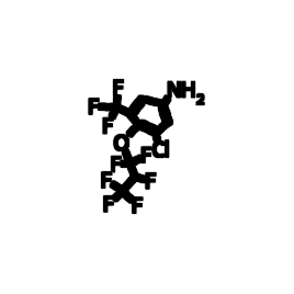 Nc1cc(Cl)c(OC(F)(F)C(F)C(F)(F)F)c(C(F)(F)F)c1